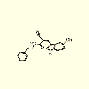 N#C/C(=C/c1c[nH]c2ccc(O)cc12)C(=O)NCCc1ccccc1